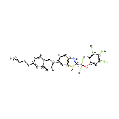 C=CCCc1ccc2cc(-c3ccc4nc(C(F)(F)Oc5cc(F)c(F)c(F)c5)sc4c3)ccc2c1